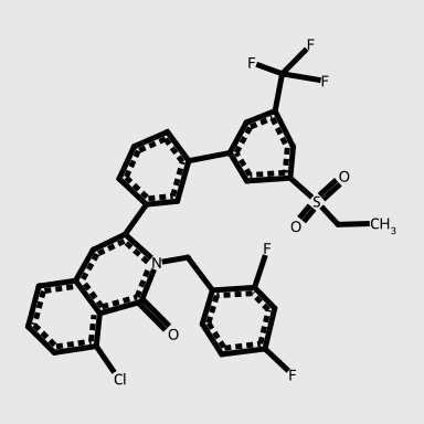 CCS(=O)(=O)c1cc(-c2cccc(-c3cc4cccc(Cl)c4c(=O)n3Cc3ccc(F)cc3F)c2)cc(C(F)(F)F)c1